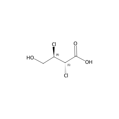 O=C(O)[C@H](Cl)[C@H](Cl)CO